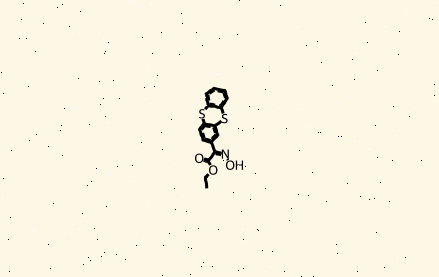 CCOC(=O)C(=NO)c1ccc2c(c1)Sc1ccccc1S2